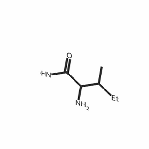 CCC(C)C(N)C([NH])=O